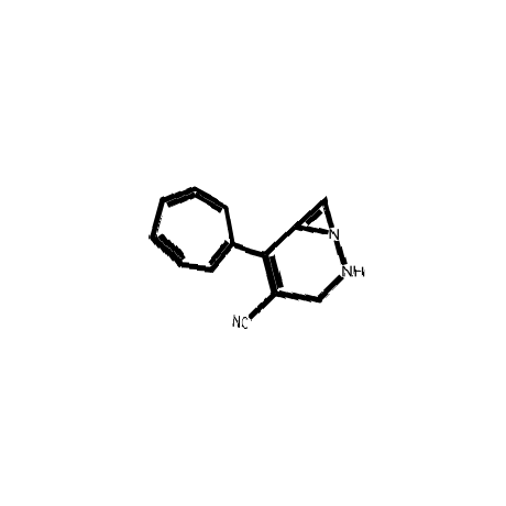 N#CC1=C(C2=CC=CC=C=C2)C2=CN2NC1